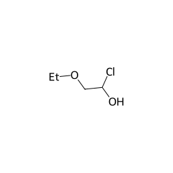 CCOCC(O)Cl